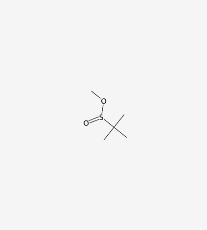 COS(=O)C(C)(C)C